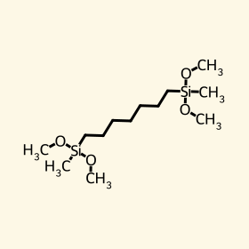 CO[Si](C)(CCCCCCC[Si](C)(OC)OC)OC